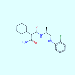 C[C@@H](CNc1ccccc1F)NC(=O)C(C(N)=O)C1CCCCC1